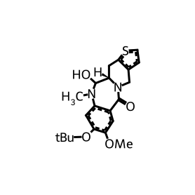 COc1cc2c(cc1OC(C)(C)C)N(C)C(O)[C@@H]1Cc3sccc3CN1C2=O